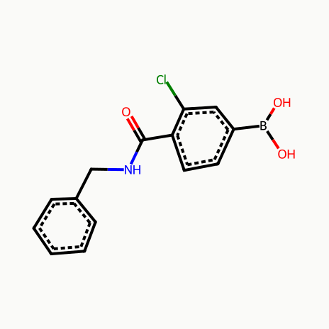 O=C(NCc1ccccc1)c1ccc(B(O)O)cc1Cl